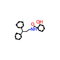 O=C(NCCC(c1ccccc1)c1ccccc1)c1ccccc1O